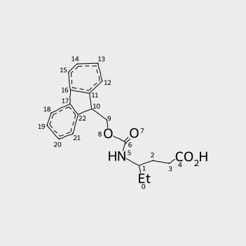 CCC(CCC(=O)O)NC(=O)OCC1c2ccccc2-c2ccccc21